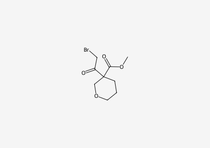 COC(=O)C1(C(=O)CBr)CCCOC1